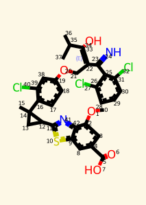 COc1cc(C(=O)O)cc2sc(C3CC3(C)c3ccc(OC/C(C(=N)c4c(Cl)cccc4Cl)=C(/O)C(C)C)cc3Cl)nc12